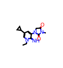 CCn1cc(C2CC2)cc(N2CC(=O)N(C)C2=O)c1=N